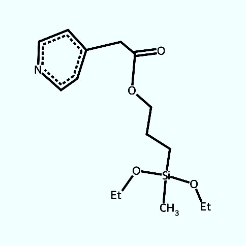 CCO[Si](C)(CCCOC(=O)Cc1ccncc1)OCC